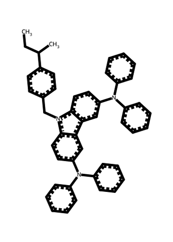 CCC(C)c1ccc(Cn2c3ccc(N(c4ccccc4)c4ccccc4)cc3c3cc(N(c4ccccc4)c4ccccc4)ccc32)cc1